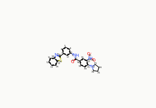 O=C(Nc1cccc(-c2nc3ccccc3s2)c1)c1ccc(N2CCCC2)c([N+](=O)[O-])c1